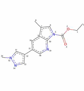 CCOC(=O)n1cc(C)c2cc(-c3cnn(C)c3)cnc21